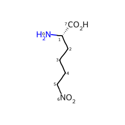 N[C@@H](CCCC[N+](=O)[O-])C(=O)O